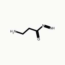 N=NC(=O)CCN